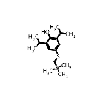 CC(C)c1cc(SC[Si](C)(C)C)cc(C(C)C)c1O